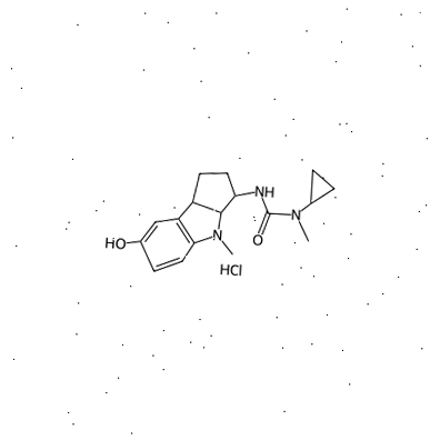 CN(C(=O)NC1CCC2c3cc(O)ccc3N(C)C12)C1CC1.Cl